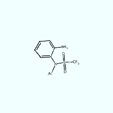 CC(=O)N(c1ccccc1N)S(=O)(=O)C(F)(F)F